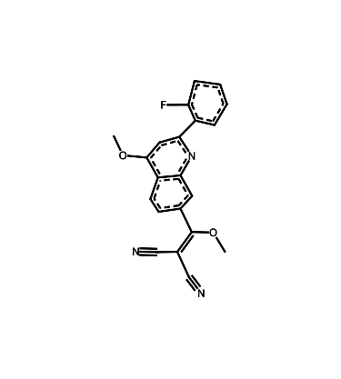 COC(=C(C#N)C#N)c1ccc2c(OC)cc(-c3ccccc3F)nc2c1